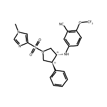 Cn1cnc(S(=O)(=O)N2C[C@H](Nc3ccc(OC(F)(F)F)c(C#N)c3)[C@@H](c3ccccc3)C2)c1